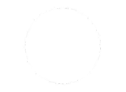 C1=C\CCCCCC/C=C\CCCCCC/C=C\CCCCCC/C=C\CCCCCC/1